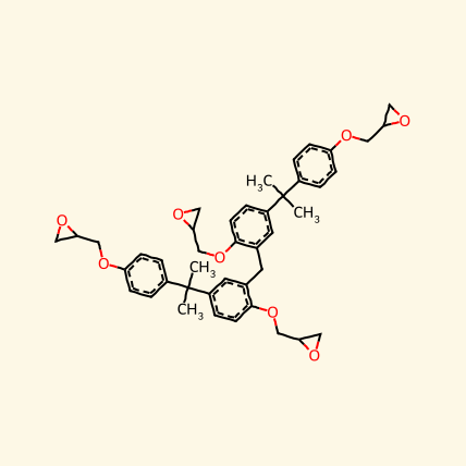 CC(C)(c1ccc(OCC2CO2)cc1)c1ccc(OCC2CO2)c(Cc2cc(C(C)(C)c3ccc(OCC4CO4)cc3)ccc2OCC2CO2)c1